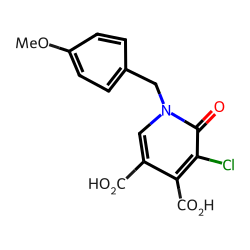 COc1ccc(Cn2cc(C(=O)O)c(C(=O)O)c(Cl)c2=O)cc1